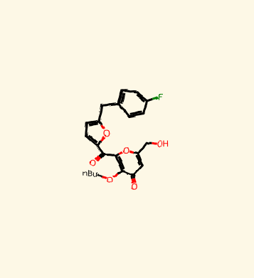 CCCCOc1c(C(=O)c2ccc(Cc3ccc(F)cc3)o2)oc(CO)cc1=O